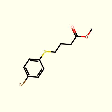 COC(=O)CCCSc1ccc(Br)cc1